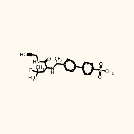 C#CCNC(=O)C(CC(C)(C)F)N[C@@H](c1ccc(-c2ccc(S(C)(=O)=O)cc2)cc1)C(F)(F)F